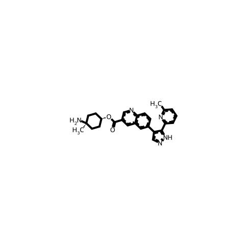 Cc1cccc(-c2[nH]ncc2-c2ccc3ncc(C(=O)O[C@H]4CC[C@](C)(N)CC4)cc3c2)n1